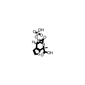 C[C@@]1(C(=O)O)c2sccc2[C@H]2CN1C(=O)N2OS(=O)(=O)O